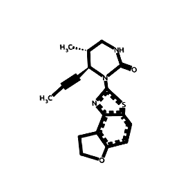 CC#C[C@H]1[C@H](C)CNC(=O)N1c1nc2c3c(ccc2s1)OCC3